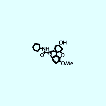 COc1ccc2c3c1OC1CC(O)C=CC31CCN(C(=O)NC1CCCCC1)C2